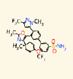 Cc1nc(C2(C)C=CC(OC(F)(F)F)=CC2)c(-c2cc(-c3cccc(S(N)(=O)=O)c3)ccc2-c2cc(C(F)(F)F)nn2C)o1